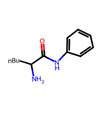 CCCCC(N)C(=O)Nc1ccccc1